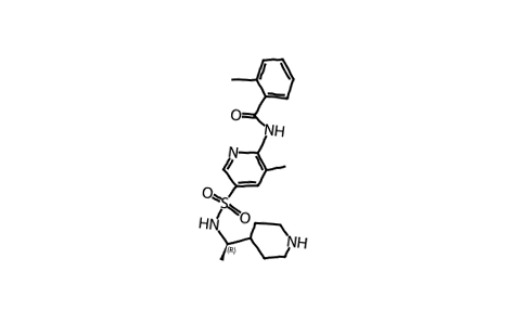 Cc1ccccc1C(=O)Nc1ncc(S(=O)(=O)N[C@H](C)C2CCNCC2)cc1C